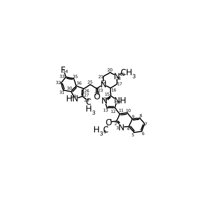 COc1nc2ccccc2cc1-c1cnc(C2CN(C)CCN2C(=O)Cc2c(C)[nH]c3ccc(F)cc23)[nH]1